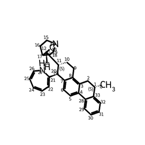 C[C@H]1Cc2c(ccc3c2CC[C@@H]([C@H]2CN4CCC2CC4)[C@@H]3C2=CC=CC=CN2)-c2ccccc21